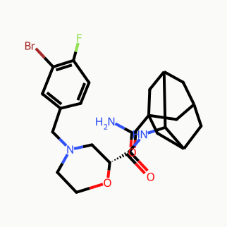 NC(=O)C12CC3CC(C1)C(NC(=O)[C@H]1CN(Cc4ccc(F)c(Br)c4)CCO1)C(C3)C2